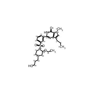 CCCc1cn(C)c2c(=O)[nH]c(-c3cccc(S(=O)(=O)N4CCN(CCCO)CC4OCC)c3)nc12